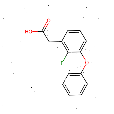 O=C(O)Cc1cccc(Oc2ccccc2)c1F